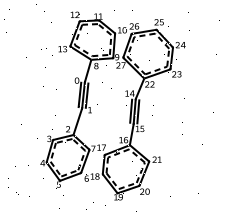 C(#Cc1ccccc1)c1ccccc1.C(#Cc1ccccc1)c1ccccc1